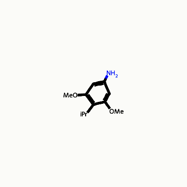 COc1cc(N)cc(OC)c1C(C)C